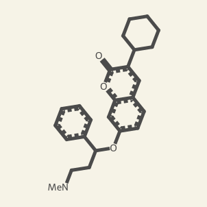 CNCCC(Oc1ccc2cc(C3CCCCC3)c(=O)oc2c1)c1ccccc1